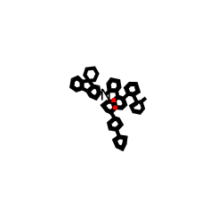 CC1CC=CC=C1c1ccccc1-c1ccccc1-c1ccccc1N(c1ccc(-c2ccc(-c3ccccc3)cc2)cc1)c1ccc2c(c1)C1(CCCCC1)c1ccccc1-2